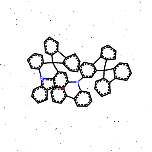 c1ccc(-c2ccccc2N(c2ccc3c(c2)C2(c4ccccc4-c4ccccc42)c2ccccc2-3)c2cc3c4c(c2)c2ccccc2n4-c2ccccc2C32c3ccccc3-c3ccccc32)cc1